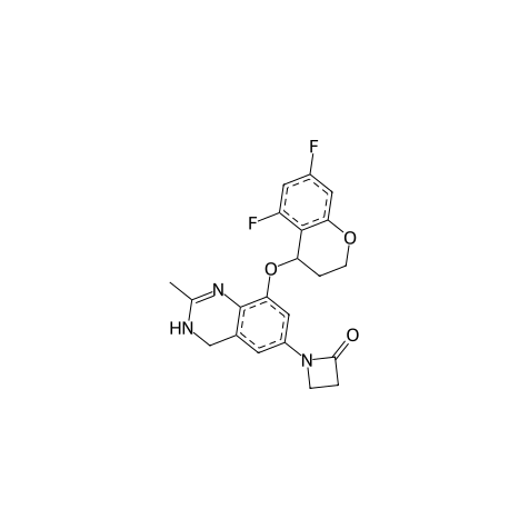 CC1=Nc2c(cc(N3CCC3=O)cc2OC2CCOc3cc(F)cc(F)c32)CN1